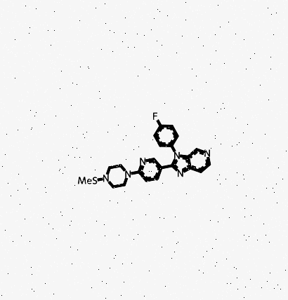 CSN1CCN(c2ccc(-c3nc4ccncc4n3-c3ccc(F)cc3)cn2)CC1